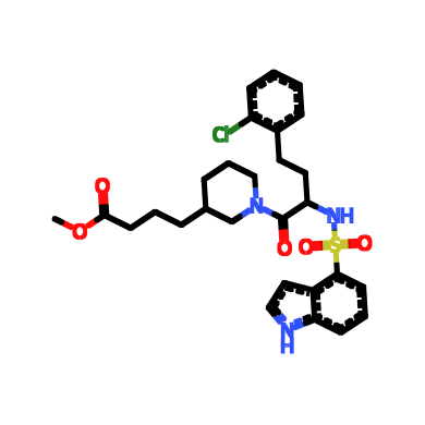 COC(=O)CCCC1CCCN(C(=O)C(CCc2ccccc2Cl)NS(=O)(=O)c2cccc3[nH]ccc23)C1